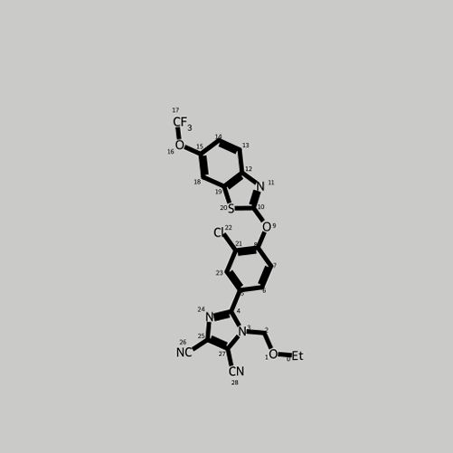 CCOCn1c(-c2ccc(Oc3nc4ccc(OC(F)(F)F)cc4s3)c(Cl)c2)nc(C#N)c1C#N